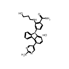 Cl.NC(=O)c1ccc(-n2c3ccccc3c3c(-c4cnc(N)nc4)cccc32)cc1NCCCO